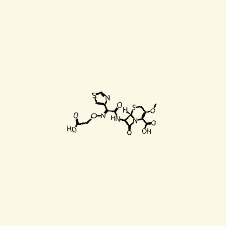 COC1=C(C(=O)O)N2C(=O)C(NC(=O)C(=NOCC(=O)O)c3cscn3)[C@@H]2SC1